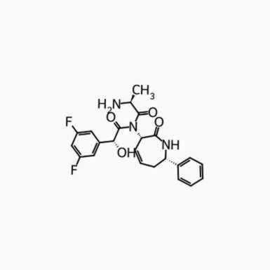 C[C@H](N)C(=O)N(C(=O)[C@H](O)c1cc(F)cc(F)c1)[C@H]1C=CC[C@@H](c2ccccc2)NC1=O